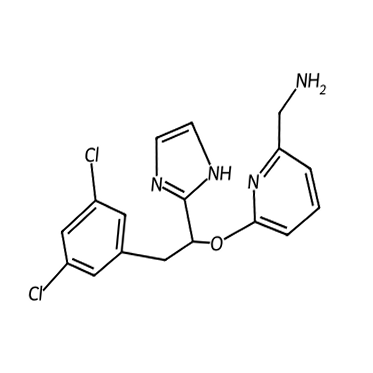 NCc1cccc(OC(Cc2cc(Cl)cc(Cl)c2)c2ncc[nH]2)n1